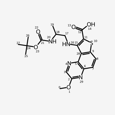 COc1cnc2c(ccc3sc(C(=O)O)c(NCC(C)NC(=O)OC(C)(C)C)c32)n1